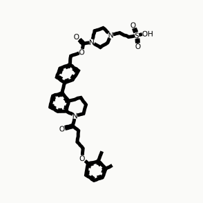 Cc1cccc(OCCCC(=O)N2CCCc3c(-c4ccc(COC(=O)N5CCN(CCS(=O)(=O)O)CC5)cc4)cccc32)c1C